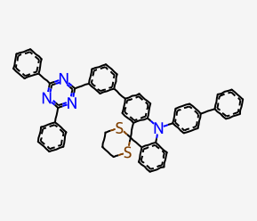 c1ccc(-c2ccc(N3c4ccccc4C4(SCCCS4)c4cc(-c5cccc(-c6nc(-c7ccccc7)nc(-c7ccccc7)n6)c5)ccc43)cc2)cc1